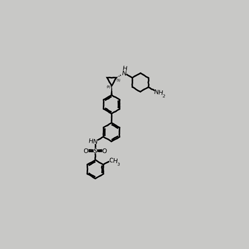 Cc1ccccc1S(=O)(=O)Nc1cccc(-c2ccc([C@H]3C[C@@H]3NC3CCC(N)CC3)cc2)c1